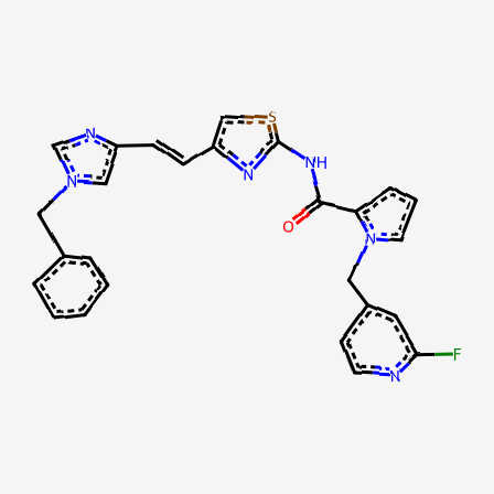 O=C(Nc1nc(C=Cc2cn(Cc3ccccc3)cn2)cs1)c1cccn1Cc1ccnc(F)c1